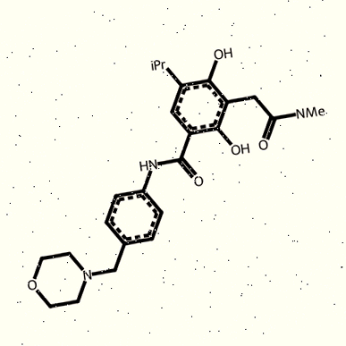 CNC(=O)Cc1c(O)c(C(=O)Nc2ccc(CN3CCOCC3)cc2)cc(C(C)C)c1O